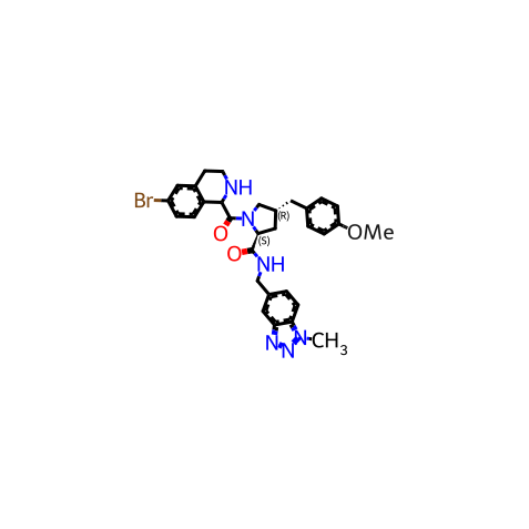 COc1ccc(C[C@@H]2C[C@@H](C(=O)NCc3ccc4c(c3)nnn4C)N(C(=O)C3NCCc4cc(Br)ccc43)C2)cc1